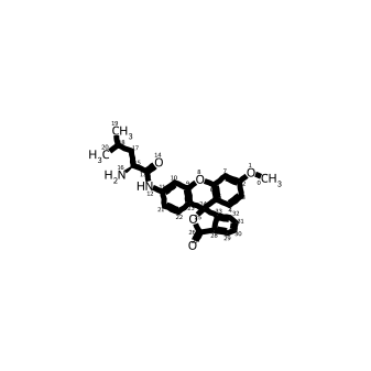 COc1ccc2c(c1)Oc1cc(NC(=O)[C@@H](N)CC(C)C)ccc1C21OC(=O)c2ccccc21